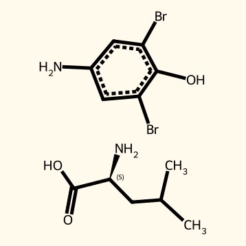 CC(C)C[C@H](N)C(=O)O.Nc1cc(Br)c(O)c(Br)c1